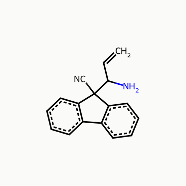 C=CC(N)C1(C#N)c2ccccc2-c2ccccc21